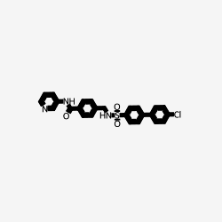 O=C(Nc1cccnc1)c1ccc(CNS(=O)(=O)c2ccc(-c3ccc(Cl)cc3)cc2)cc1